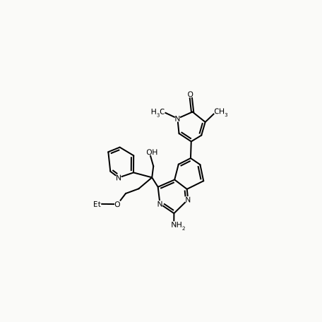 CCOCCC(CO)(c1ccccn1)c1nc(N)nc2ccc(-c3cc(C)c(=O)n(C)c3)cc12